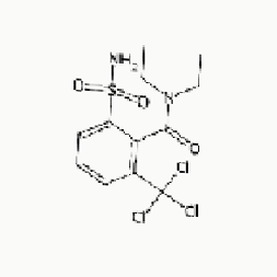 CCN(CC)C(=O)c1c(C(Cl)(Cl)Cl)cccc1S(N)(=O)=O